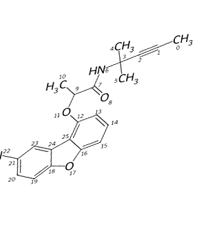 CC#CC(C)(C)NC(=O)C(C)Oc1cccc2oc3ccc(Cl)cc3c12